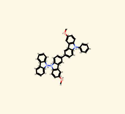 COc1ccc2c(c1)c1cc(-c3ccc4c(c3)c3cc(OC)ccc3n4-n3c4ccccc4c4ccccc43)ccc1n2-c1ccccc1